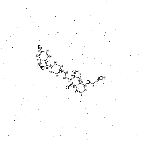 C#CCOc1cccn2c(=O)c(CCN3CCC(c4onc5cc(F)ccc45)CC3)c(C)nc12